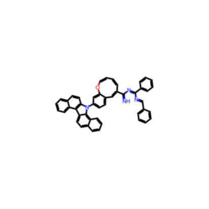 N=C(/N=C(\N=C\c1ccccc1)c1ccccc1)c1ccccoc2cc(-n3c4ccc5ccccc5c4c4ccc5ccccc5c43)ccc2c1